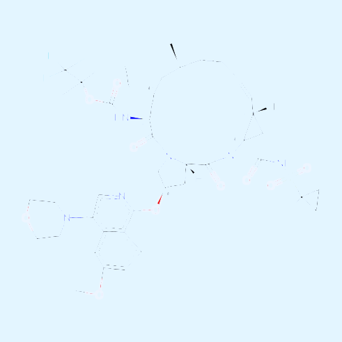 CC[C@@H]1C[C@@H](C)CC/C=C\[C@@H]2C[C@@]2(C(=O)NS(=O)(=O)C2(C)CC2)NC(=O)[C@@H]2C[C@@H](Oc3ncc(N4CCOCC4)c4cc(OC)ccc34)CN2C(=O)[C@H]1NC(=O)OC(C)(C)C(F)(F)F